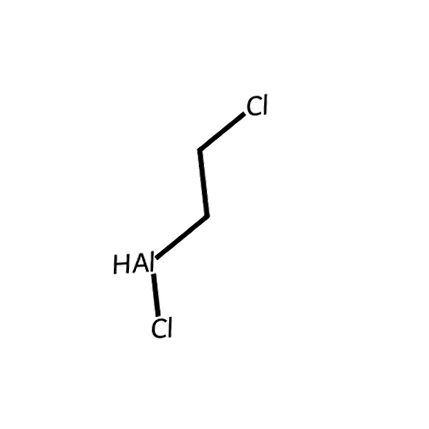 ClC[CH2][AlH][Cl]